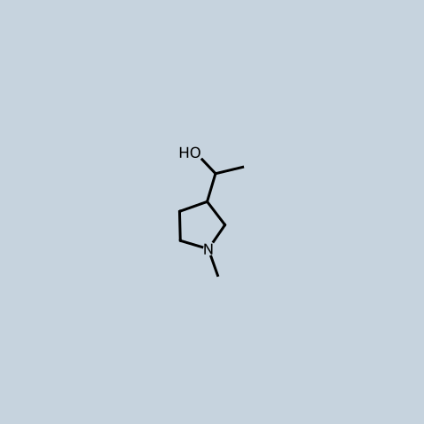 CC(O)C1CCN(C)C1